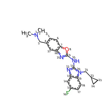 CN(C)Cc1ccc2oc(Nc3nc4cc(F)ccc4n3CC3CC3)nc2c1